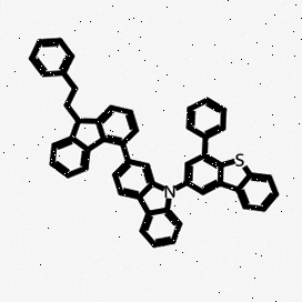 c1ccc(CCC2c3ccccc3-c3c(-c4ccc5c6ccccc6n(-c6cc(-c7ccccc7)c7sc8ccccc8c7c6)c5c4)cccc32)cc1